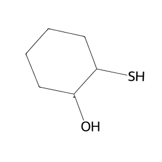 O[C]1CCCCC1S